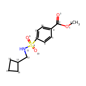 COC(=O)c1ccc(S(=O)(=O)NCC2CCC2)cc1